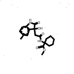 COC(=O)C1(NC(=O)CC2(O)C(=O)Nc3ccc(C)cc32)CCCCC1